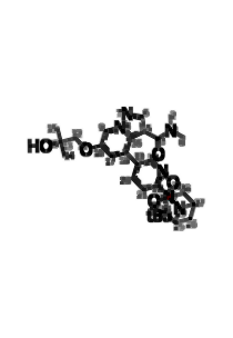 CN(C)C(=O)c1cnn2cc(OCC(C)(C)O)cc(-c3ccc(N4CC5CC(C4)N5C(=O)OC(C)(C)C)nc3)c12